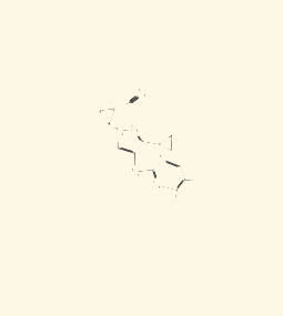 COc1nc(Nc2cn([C@@]3(C)C[C@H]3C#N)nc2C2CC2)ncc1Br